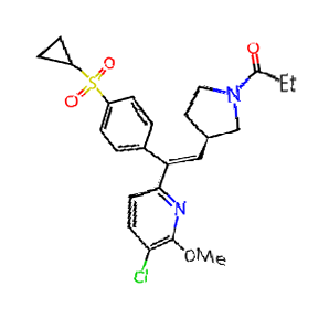 CCC(=O)N1CC[C@H](/C=C(\c2ccc(S(=O)(=O)C3CC3)cc2)c2ccc(Cl)c(OC)n2)C1